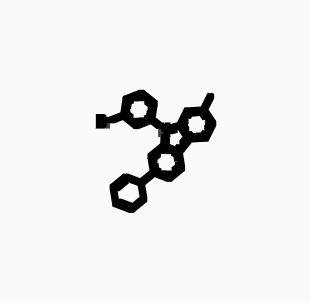 Cc1ccc2c3ccc(C4C=CC=CC4)cc3n(-c3cccc(Br)c3)c2c1